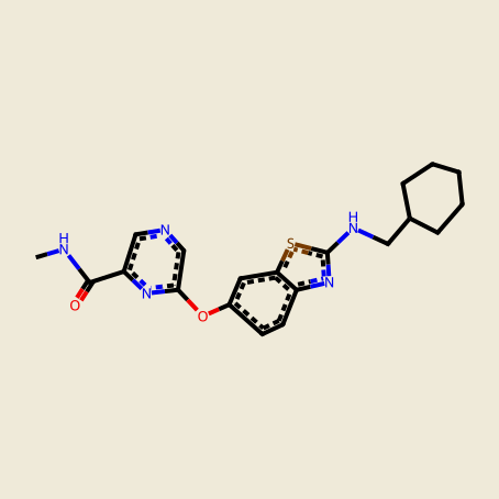 CNC(=O)c1cncc(Oc2ccc3nc(NCC4CCCCC4)sc3c2)n1